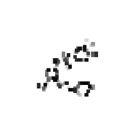 Cc1ccc(NC(=O)Nc2ccc(Cl)c(C(F)(F)F)c2)cc1OCCN1CCNCC1